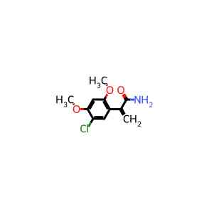 C=C(C(N)=O)c1cc(Cl)c(OC)cc1OC